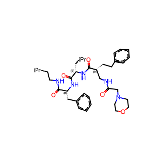 CC(C)CCNC(=O)[C@@H](Cc1ccccc1)NC(=O)[C@H](CC(C)C)NC(=O)[C@H](CCc1ccccc1)CNC(=O)CN1CCOCC1